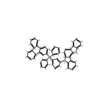 c1ccc([Si](c2ccccc2)(c2cccc(-n3c4ccccc4c4c5sc6ccccc6c5ccc43)c2)c2ccc3c4ccccc4c4ccccc4c3c2)cc1